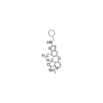 Cc1c(Oc2cc(C)c3nc(NCC4CCCCC4)sc3c2)ccnc1C(N)=O